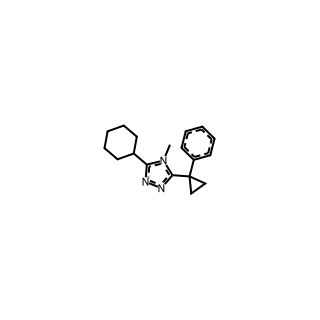 Cn1c(C2CCCCC2)nnc1C1(c2ccccc2)CC1